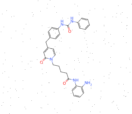 Nc1ccccc1NC(=O)CCCCn1ccc(Cc2ccc(NC(=O)Nc3ccccc3)cc2)cc1=O